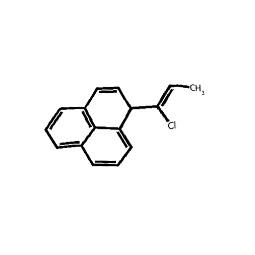 CC=C(Cl)C1C=Cc2cccc3cccc1c23